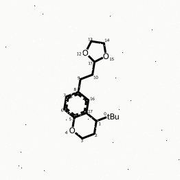 CC(C)(C)C1CCOc2ccc(CCC3OCCO3)cc21